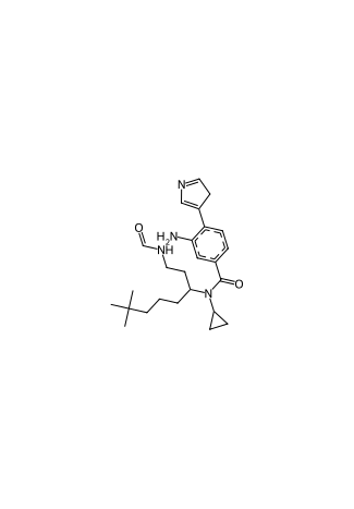 CC(C)(C)CCCC(CCNC=O)N(C(=O)c1ccc(C2=CN=CC2)c(N)c1)C1CC1